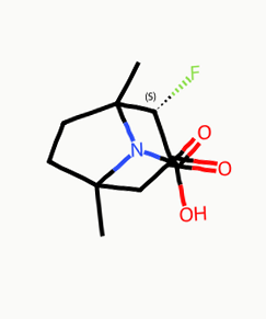 CC12CCC(C)([C@H](F)C(=O)C1)N2C(=O)O